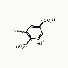 Cl.O=C(O)c1ccc(C(=O)O)c(F)c1